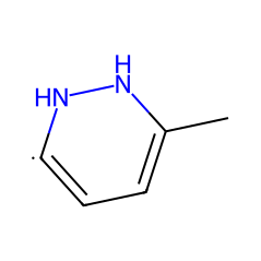 CC1=CC=[C]NN1